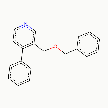 c1ccc(COCc2cnccc2-c2ccccc2)cc1